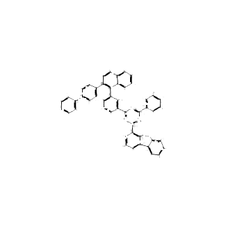 c1ccc(-c2ccc(-c3ccc4ccccc4c3-c3cccc(-c4nc(-c5ccccc5)nc(-c5cccc6c5oc5ccccc56)n4)c3)cc2)cc1